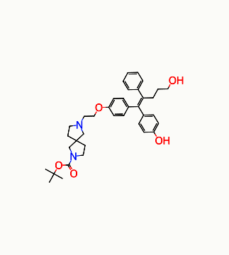 CC(C)(C)OC(=O)N1CCC2(CCN(CCOc3ccc(/C(=C(/CCCO)c4ccccc4)c4ccc(O)cc4)cc3)C2)C1